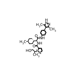 Cc1n[nH]c(C)c1-c1ccc(NC(=O)[C@@H](NC(=O)c2ccnn2C(C)CO)[C@H]2CC[C@H](C)CC2)cc1